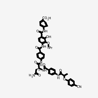 CCCOc1c(NC(=O)c2ccc(NC(=O)[C@H](CC(N)=O)NC(=O)c3ccc(NC(=O)C(C)Oc4ccc(C#N)cc4)cc3)cc2)ccc(C(=O)Nc2ccc(C(=O)O)cc2)c1O